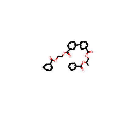 CC(COC(=O)c1cccc(-c2cccc(C(=O)OCCOC(=O)c3ccccc3)c2)c1)OC(=O)c1ccccc1